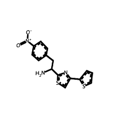 NC(Cc1ccc([N+](=O)[O-])cc1)c1nc(-c2cccs2)cs1